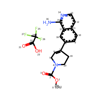 CC(C)(C)OC(=O)N1CC=C(c2ccc3ccnc(N)c3c2)CC1.O=C(O)C(F)(F)F